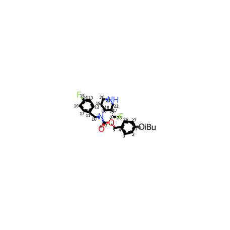 CC(C)COc1ccc(COC(=O)N(Cc2ccc(F)cc2)[C@@H]2CCNC[C@@H]2CF)cc1